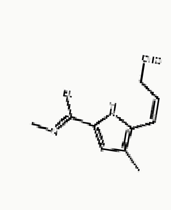 CC/C(=N\C)c1cc(C)c(/C=C\CC=O)[nH]1